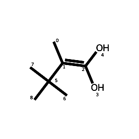 CC(=C(O)O)C(C)(C)C